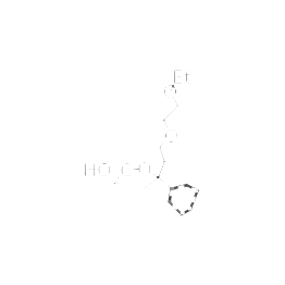 CCOCCOCCC(C)(OC(=O)O)c1ccccc1